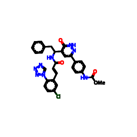 COC(=O)Nc1ccc(-c2cc(C(Cc3ccccc3)NC(=O)C=Cc3cc(Cl)ccc3-n3cnnn3)c(=O)[nH]n2)cc1